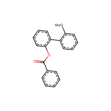 COc1ccccc1-c1ccccc1OC(=O)c1ccccc1